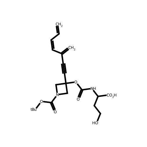 C=C/C=C\C(=C)C#CC1(OC(=O)NC(CCO)C(=O)O)CN(C(=O)OC(C)(C)C)C1